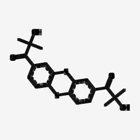 CC(C)(O)C(=O)c1ccc2c(c1)Sc1cc(C(=O)C(C)(C)O)ccc1S2